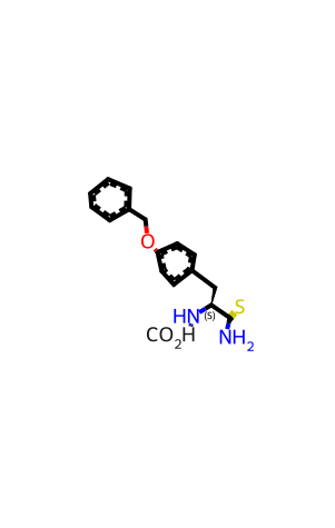 NC(=S)[C@H](Cc1ccc(OCc2ccccc2)cc1)NC(=O)O